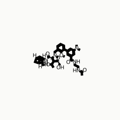 COc1c(CN2O[C@@H](CO)C(C(C)O)[C@H]2C(=O)N[C@H]2C[C@H]3C[C@@H]([C@@H]2C)C3(C)C)cccc1-c1cc(C(=O)NCCNC(C)=O)cc(N(C)C)c1